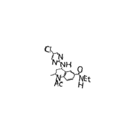 CCNC(=O)c1ccc2c(c1)C(Nc1ncc(Cl)cn1)CC(C)N2C(C)=O